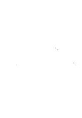 Fc1ccc(Nc2ncco2)cc1C(F)(F)F